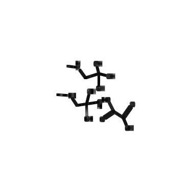 CPCC(O)(O)O.CPCC(O)(O)O.O=C(O)C(=O)O